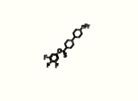 CCCC1CCC(C2CCC(C(=S)Oc3cc(F)c(F)c(F)c3)CC2)CC1